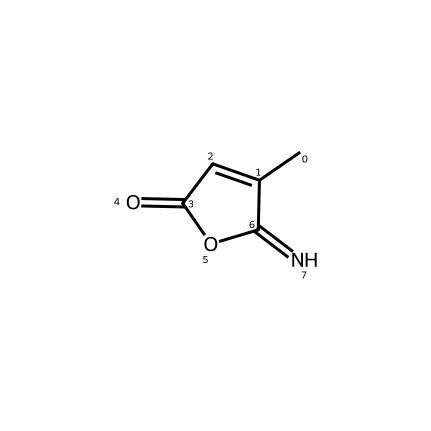 CC1=CC(=O)OC1=N